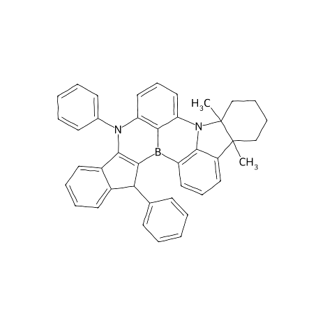 CC12CCCCC1(C)N1c3cccc4c3B(C3=C(c5ccccc5C3c3ccccc3)N4c3ccccc3)c3cccc2c31